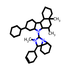 CC1CC2(C)CCCCC2C2C3CCC(C4CCCCC4)CC3N(C3N(C)C(C4CC=CCC4)C45CCCCC4N35)C12